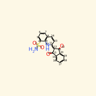 NS(=O)(=O)c1cccc2c1NC(=C1C(=O)c3ccccc3C1=O)C=C2